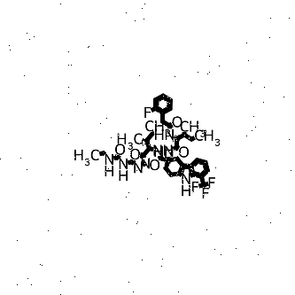 CCNC(=O)Nc1nnc(C(NC(=O)[C@@]2(NC(=O)[C@H](NC(=O)Cc3ccccc3F)C(C)CC)CCc3[nH]c4c(C(F)(F)F)cccc4c3C2)[C@@H](C)CC)o1